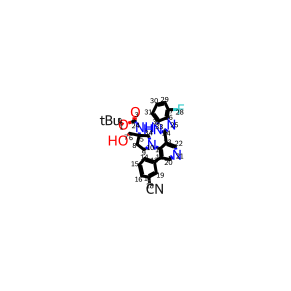 CC(C)(C)OC(=O)NC1(CO)CCN(c2c(-c3cccc(C#N)c3)cncc2-c2nc3c(F)cccc3[nH]2)C1